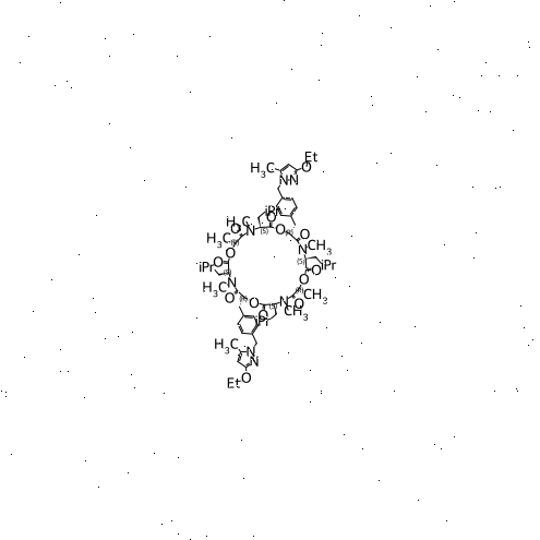 CCOc1cc(C)n(Cc2ccc(C[C@H]3OC(=O)[C@H](CC(C)C)N(C)C(=O)[C@@H](C)OC(=O)[C@H](CC(C)C)N(C)C(=O)[C@@H](Cc4ccc(Cn5nc(OCC)cc5C)cc4)OC(=O)[C@H](CC(C)C)N(C)C(=O)[C@@H](C)OC(=O)[C@H](CC(C)C)N(C)C3=O)cc2)n1